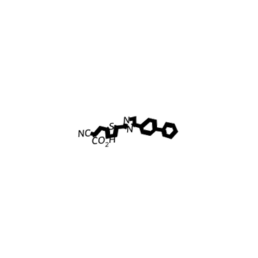 N#C/C(=C/c1ccc(C2=NCC(c3ccc(-c4ccccc4)cc3)=N2)s1)C(=O)O